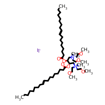 CCCCCCCCC=CCCCCCCCC(=O)OC(C[N+](C)(CCOC)CCOC)C(C[N+](C)(CCOC)CCOC)OC(=O)CCCCCCCC=CCCCCCCCC.[I-].[I-]